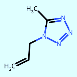 C=CCn1nnnc1C